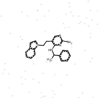 CC(Nc1nc(N)ncc1CCn1ccc2ccccc21)c1ccccc1